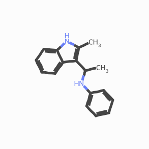 Cc1[nH]c2ccccc2c1C(C)Nc1ccccc1